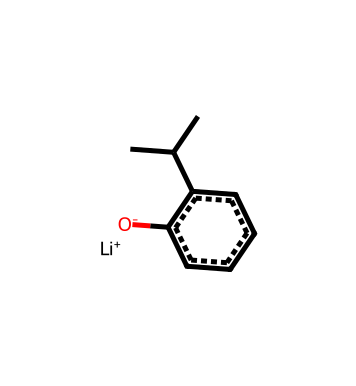 CC(C)c1ccccc1[O-].[Li+]